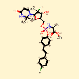 CC[C@H](NP(=O)(OC[C@H]1O[C@@H](N2C=CC(=O)NC2(C)OC)[C@](C)(F)[C@@H]1O)Oc1ccc(/C=C/c2ccc(F)cc2)cc1)C(=O)OC(C)C